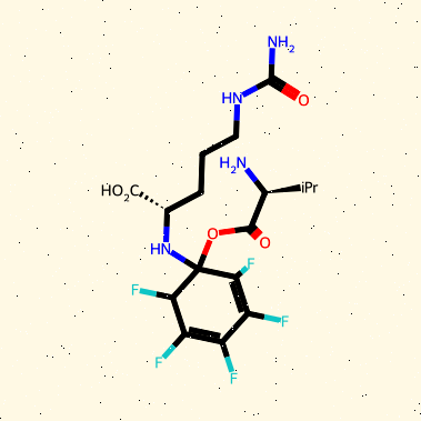 CC(C)[C@H](N)C(=O)OC1(N[C@@H](CCCNC(N)=O)C(=O)O)C(F)=C(F)C(F)=C(F)C1F